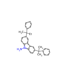 CCC(C)(c1ccccc1)c1ccc2c(c1)c1cc(C(C)(C)c3ccccc3)ccc1n2N